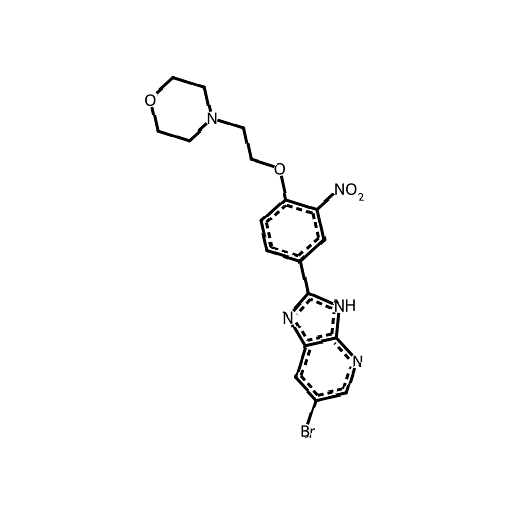 O=[N+]([O-])c1cc(-c2nc3cc(Br)cnc3[nH]2)ccc1OCCN1CCOCC1